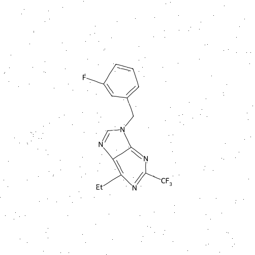 CCc1nc(C(F)(F)F)nc2c1ncn2Cc1cccc(F)c1